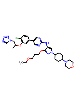 CC(Cn1cnnn1)Oc1cc(-c2cnc(Nc3cn(C4CCC(N5CCOCC5)CC4)nc3OCCCOCC(F)(F)F)nc2)ccc1Cl